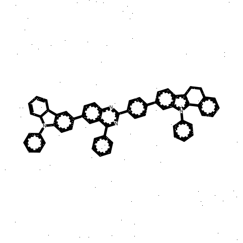 C1=CC2c3cc(-c4ccc5nc(-c6ccc(-c7ccc8c9c(n(-c%10ccccc%10)c8c7)-c7ccccc7CC9)cc6)nc(-c6ccccc6)c5c4)ccc3N(c3ccccc3)C2C=C1